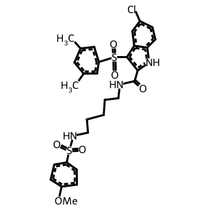 COc1ccc(S(=O)(=O)NCCCCCNC(=O)c2[nH]c3ccc(Cl)cc3c2S(=O)(=O)c2cc(C)cc(C)c2)cc1